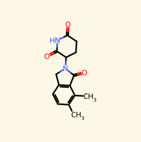 Cc1ccc2c(c1C)C(=O)N(C1CCC(=O)NC1=O)C2